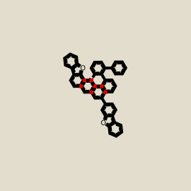 c1ccc(-c2ccccc2-c2c(-c3ccccc3)cccc2N(c2ccc(-c3ccc4c(c3)oc3ccccc34)cc2)c2cccc3c2oc2ccccc23)cc1